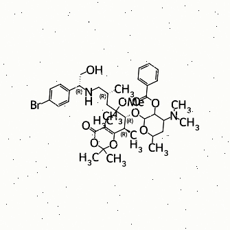 COC(C)(C[C@@H](C)CN[C@@H](CO)c1ccc(Br)cc1)[C@H](OC1OC(C)CC(N(C)C)C1OC(=O)c1ccccc1)[C@@H](C)C1=C(C)C(=O)OC(C)(C)O1